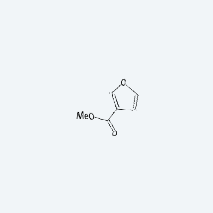 COC(=O)c1[c]co[c]1